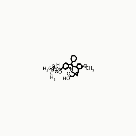 COc1ccc2c(c1)C1CC1(CC(=O)O)Cn1c-2c(C2CCCCC2)c2ccc(C(=O)NS(=O)(=O)N(C)C)cc21